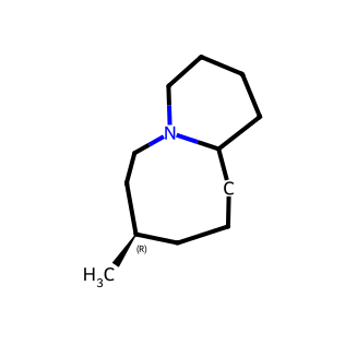 C[C@@H]1CCCC2CCCCN2CC1